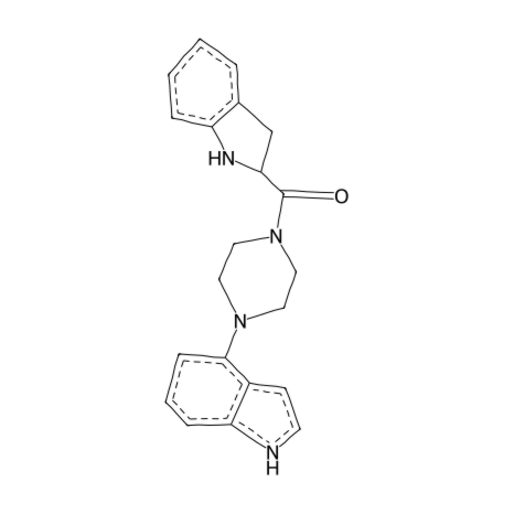 O=C(C1Cc2ccccc2N1)N1CCN(c2cccc3[nH]ccc23)CC1